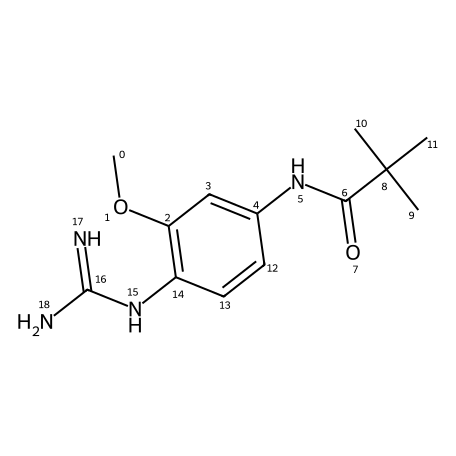 COc1cc(NC(=O)C(C)(C)C)ccc1NC(=N)N